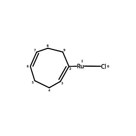 [Cl][Ru][C]1=CCCC=CCC1